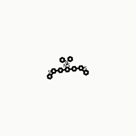 c1ccc(N(c2ccccc2)c2nc3c(-c4ccc(-c5ccc6sc7ccccc7c6c5)cc4)ccc(-c4ccc(-c5ccc6sc7ccccc7c6c5)cc4)c3s2)cc1